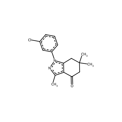 Cc1nn(-c2cccc(Cl)c2)c2c1C(=O)CC(C)(C)C2